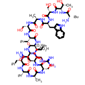 CC[C@H](C)[C@H](N)C(=O)N[C@H](C(=O)N[C@@H](CO)C(=O)N[C@@H](Cc1c[nH]c2ccccc12)C(=O)N[C@@H](C)C(=O)N[C@@H](CO)C(=O)N[C@@H](CC(C)C)C(=O)N[C@@H](CC(=O)O)C(=O)N[C@@H](CCCNC(=N)N)C(=O)N[C@@H](CC(C)C)C(=O)N[C@H](C(=O)N[C@@H](C)C(=O)N[C@@H](CO)C(=O)N[C@@H](CCC(N)=O)C(=O)N[C@@H](CC(C)C)C(=O)O)C(C)C)[C@@H](C)O